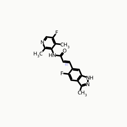 Cc1ncc(F)c(C)c1NC(=O)/C=C/c1cc2[nH]nc(C)c2cc1F